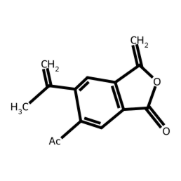 C=C(C)c1cc2c(cc1C(C)=O)C(=O)OC2=C